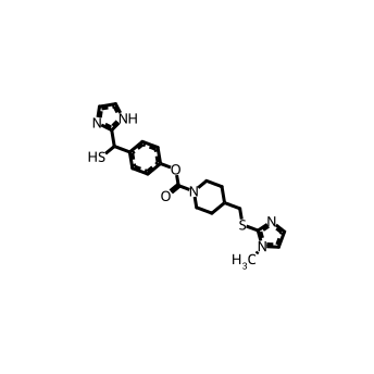 Cn1ccnc1SCC1CCN(C(=O)Oc2ccc(C(S)c3ncc[nH]3)cc2)CC1